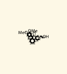 COc1cc2nc3c(c(N[C@@H]4CCCN(CCO)C4)c2cc1OC)CCCCC3